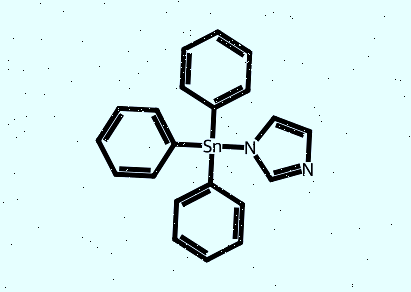 c1cc[c]([Sn]([c]2ccccc2)([c]2ccccc2)[n]2ccnc2)cc1